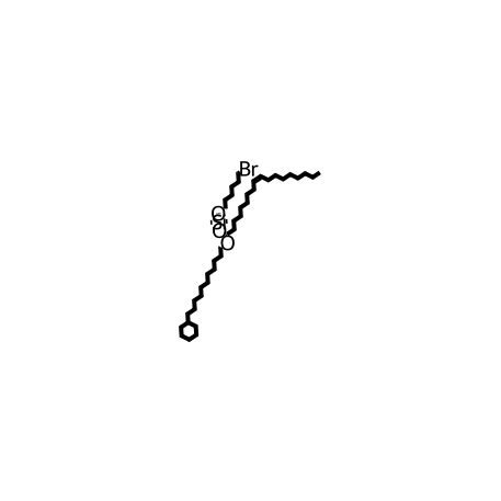 CCCCCCCC/C=C\CCCCCCCC(OCCCCCCCCCCCC1CCCCC1)O[Si](C)(C)OCCCCCCBr